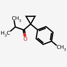 Cc1ccc(C2(C(=O)C(C)C)CC2)cc1